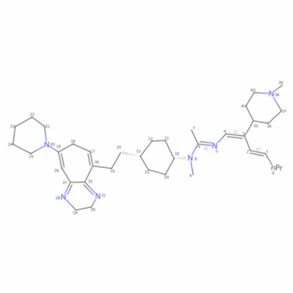 CCC/C=C/C(=C\N=C(/C)N(C)[C@H]1CC[C@@H](CCC2=CCC(N3CCCCC3)=CC3=NCCN=C23)CC1)C1CCN(C)CC1